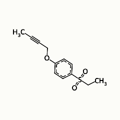 CC#CCOc1ccc(S(=O)(=O)CC)cc1